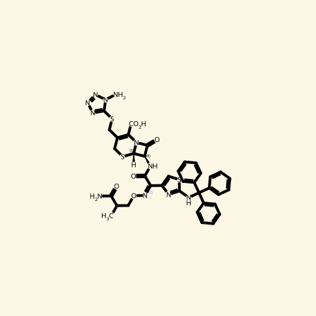 CC(CO/N=C(\C(=O)N[C@@H]1C(=O)N2C(C(=O)O)=C(CSc3nnnn3N)CS[C@@H]12)c1csc(NC(c2ccccc2)(c2ccccc2)c2ccccc2)n1)C(N)=O